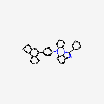 c1ccc(-c2nc3cccc4c3n2-c2ccccc2N4c2ccc(-c3cc4ccccc4c4ccccc34)cc2)cc1